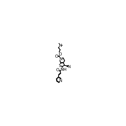 CN(C)CCCOC(=O)N1CCC2=C(C1)SC(NC(=O)/C=C/c1cccnc1)C2C#N